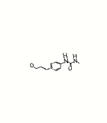 CNC(=O)Nc1ccc(/C=C/C[O])cc1